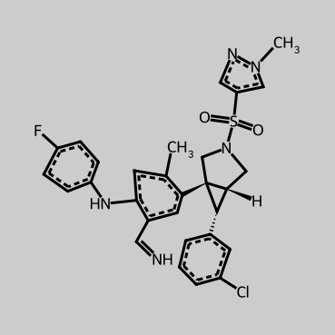 Cc1cc(Nc2ccc(F)cc2)c(C=N)cc1[C@@]12CN(S(=O)(=O)c3cnn(C)c3)C[C@@H]1[C@@H]2c1cccc(Cl)c1